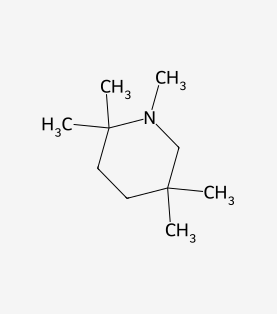 CN1CC(C)(C)CCC1(C)C